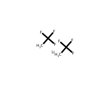 CC(F)(F)F.CC(F)(F)F.[Li]